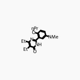 CCCOc1ccc(NC)cc1-c1nc(CC)c(CC)c(=O)[nH]1